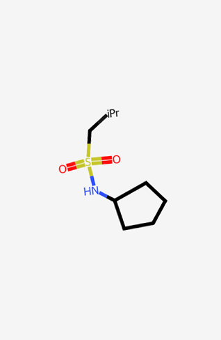 CC(C)CS(=O)(=O)NC1CCCC1